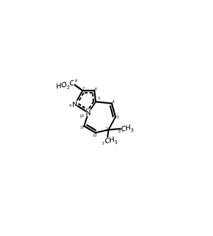 CC1(C)C=Cc2cc(C(=O)O)nn2C=C1